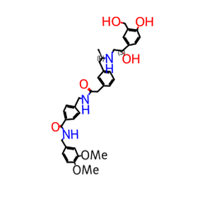 COc1ccc(CNC(=O)c2ccc(CNC(=O)Cc3cccc(C[C@@H](C)NC[C@@H](O)c4ccc(O)c(CO)c4)c3)cc2)cc1OC